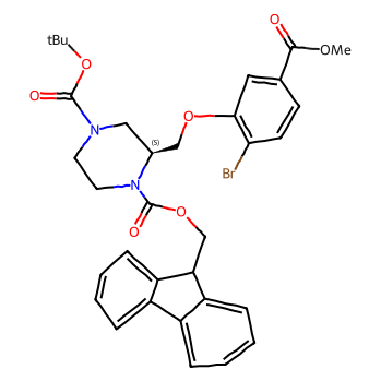 COC(=O)c1ccc(Br)c(OC[C@@H]2CN(C(=O)OC(C)(C)C)CCN2C(=O)OCC2c3ccccc3-c3ccccc32)c1